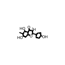 [2H]c1c(-c2ccc(O)cc2)oc2cc(O)c(C)c(O)c2c1=O